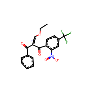 CCO/C=C(/C(=O)c1ccccc1)C(=O)c1ccc(C(F)(F)F)cc1[N+](=O)[O-]